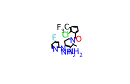 CC1C(N)=C(N(N)c2cc(F)ccn2)CCN1C(=O)c1cccc(C(F)(F)F)c1Cl